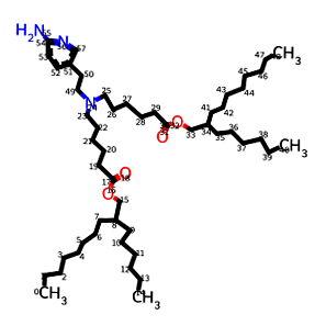 CCCCCCCCC(CCCCCC)COC(=O)CCCCCN(CCCCCC(=O)OCC(CCCCCC)CCCCCCCC)CCc1ccc(N)nc1